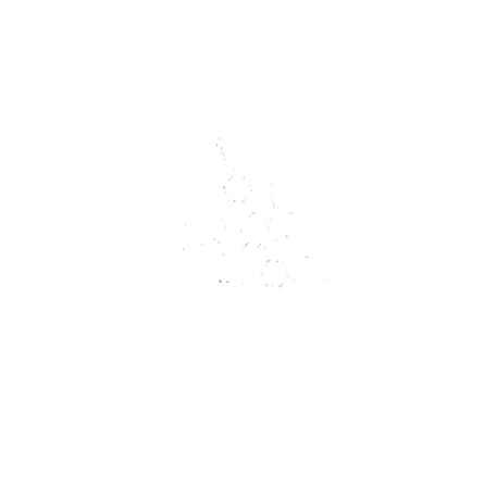 CCOC(=O)CCN(C(=O)C1C(=O)N(c2cccc(C(F)(F)F)c2)C(C)=C(C(C)=O)C1c1ccc(C#N)cc1)C1CC1